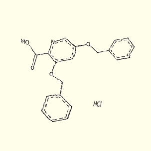 Cl.O=C(O)c1ncc(OCc2ccccc2)cc1OCc1ccccc1